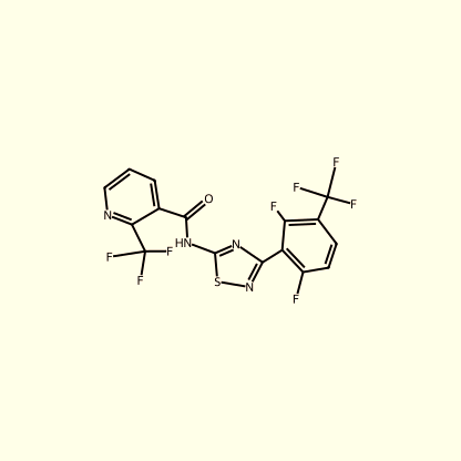 O=C(Nc1nc(-c2c(F)ccc(C(F)(F)F)c2F)ns1)c1cccnc1C(F)(F)F